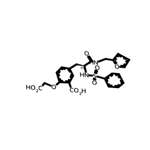 O=C(O)COc1ccc(C[C@H](NS(=O)(=O)c2ccccc2)C(=O)NCc2ccco2)cc1C(=O)O